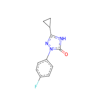 O=c1[nH]c(C2CC2)nn1-c1ccc(F)cc1